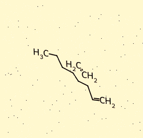 C=C.C=CCCCCCC